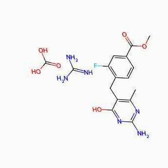 COC(=O)c1ccc(Cc2c(C)nc(N)nc2O)c(F)c1.N=C(N)N.O=C(O)O